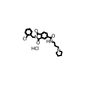 Cl.O=C(NCCCN1CCCC1)c1ccc2c(c1)C(=O)N(Cc1ccccc1Cl)C2=O